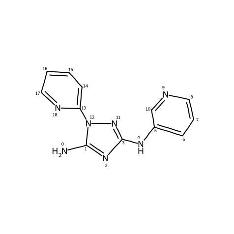 Nc1nc(Nc2cccnc2)nn1-c1ccccn1